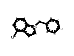 Clc1cccc2c1[c]cn2Cc1ccccc1